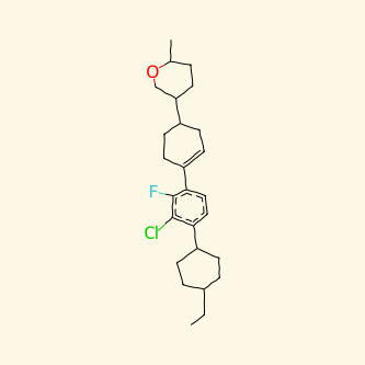 CCC1CCC(c2ccc(C3=CCC(C4CCC(C)OC4)CC3)c(F)c2Cl)CC1